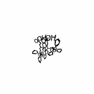 O=C(O)CCC(CCC[Si](Oc1ccccc1)(Oc1ccccc1)Oc1ccccc1)C(=O)OC(=O)C(CCC[Si](Oc1ccccc1)(Oc1ccccc1)Oc1ccccc1)CCC(=O)O